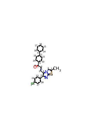 Cc1cn2c(/C=C/C(=O)c3ccc(-c4ccccc4)cc3)c(-c3ccc(F)cc3)nc2s1